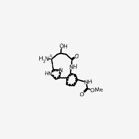 COC(=O)Nc1ccc2c(c1)NC(=O)CC(O)C[C@H](N)c1nc-2c[nH]1